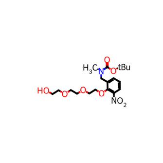 CN(Cc1cccc([N+](=O)[O-])c1OCCOCCOCCO)C(=O)OC(C)(C)C